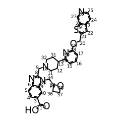 O=C(O)c1ccc2nc(CN3CCC(c4cccc(OCc5cc6ccncc6s5)n4)CC3)n(C[C@@H]3CCO3)c2c1